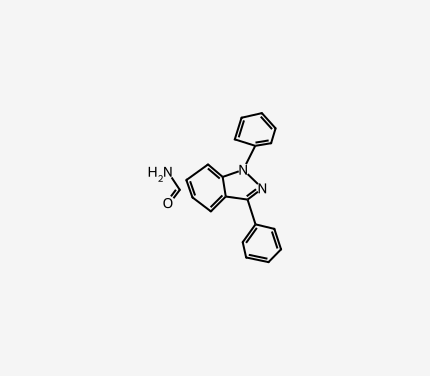 NC=O.c1ccc(-c2nn(-c3ccccc3)c3ccccc23)cc1